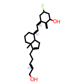 C=C1/C(=C\C=C2/CCCC3(C)C(CC/C=C/CO)=CCC23)CC(F)CC1O